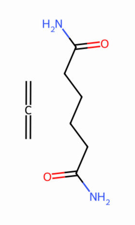 C=C=C.NC(=O)CCCCC(N)=O